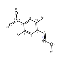 CO/N=C/c1cc(C)c([N+](=O)[O-])cc1C